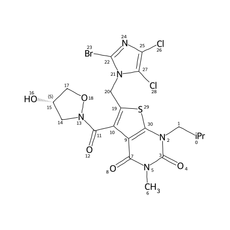 CC(C)Cn1c(=O)n(C)c(=O)c2c(C(=O)N3C[C@H](O)CO3)c(Cn3c(Br)nc(Cl)c3Cl)sc21